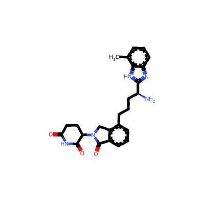 Cc1cccc2nc([C@@H](N)CCCc3cccc4c3CN(C3CCC(=O)NC3=O)C4=O)[nH]c12